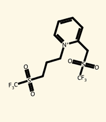 O=S(=O)(CCC[n+]1ccccc1CS(=O)(=O)C(F)(F)F)C(F)(F)F